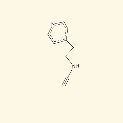 C#CNCCc1ccncc1